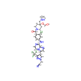 CNCC1(OC=O)CCN(C(=O)c2ccc(Nc3nccn4c(-c5cn(CC#N)nc5C(F)(F)F)cnc34)cc2Cl)CC1